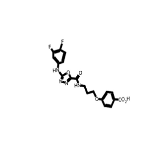 O=C(O)c1ccc(OCCCNC(=O)c2nnc(Nc3ccc(F)c(F)c3)o2)cc1